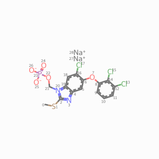 CSc1nc2cc(Oc3cccc(Cl)c3Cl)c(Cl)cc2n1COP(=O)([O-])[O-].[Na+].[Na+]